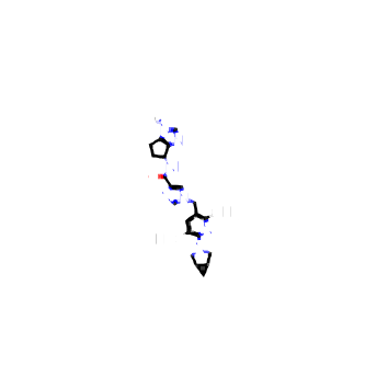 Cc1cc(Cn2cnc(C(=O)N[C@@H]3CCc4c3ncn4C)c2)c(C)nc1N1CC2CC2C1